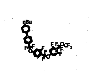 CCCCC1CCC(c2ccc(C(F)(F)Oc3ccc(C(F)(F)Oc4cc(F)c(C(F)(F)OC(F)(F)F)c(F)c4)c(F)c3)cc2)CC1